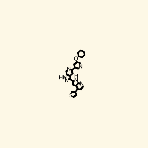 c1cc(-c2ccsc2)c2cc(-c3n[nH]c4cnc(-c5cncc(OC6CCCCC6)c5)cc34)[nH]c2n1